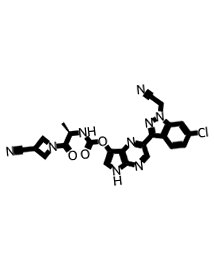 C[C@@H](NC(=O)Oc1c[nH]c2ncc(-c3nn(CC#N)c4cc(Cl)ccc34)nc12)C(=O)N1CC(C#N)C1